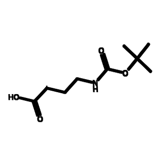 CC(C)(C)OC(=O)NCC[CH]C(=O)O